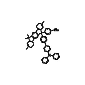 CC1=CC2=C(CC1)c1cc3c(cc1C2(C)C)C1=C(C=C(C)CC1)C3(c1ccc(-c2ccc(N(c3ccccc3)c3ccccc3)cc2)cc1)c1ccc(C(C)(C)C)cc1